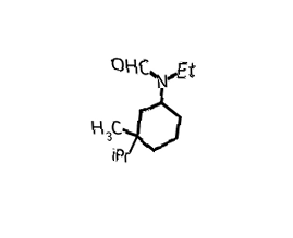 CCN(C=O)C1CCCC(C)(C(C)C)C1